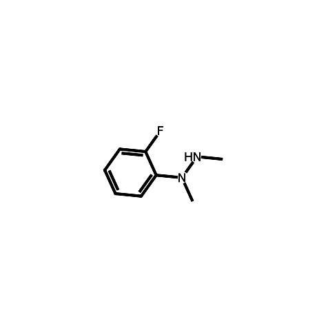 CNN(C)c1ccccc1F